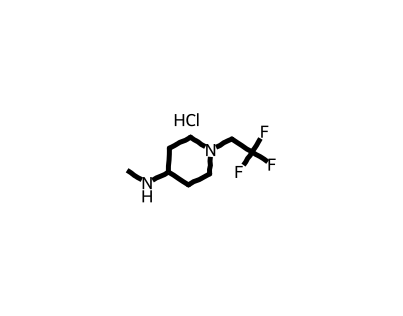 CNC1CCN(CC(F)(F)F)CC1.Cl